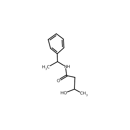 CC(O)CC(=O)NC(C)c1ccccc1